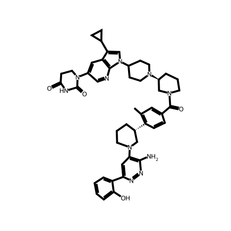 Cc1cc(C(=O)N2CCC[C@H](N3CCC(n4cc(C5CC5)c5cc(N6CCC(=O)NC6=O)cnc54)CC3)C2)ccc1[C@H]1CCCN(c2cc(-c3ccccc3O)nnc2N)C1